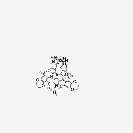 Cc1cc2c3c(c1)N(c1c(C)cc4c(c1C)OCCCO4)c1oc4ccc(C(C)(C)C)cc4c1B3c1c(oc3ccc(C(C)(C)C)cc13)N2c1c(C)cc2c(c1C)OCCCO2